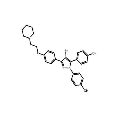 CCc1c(-c2ccc(OCCN3CCCCC3)cc2)nn(-c2ccc(O)cc2)c1-c1ccc(O)cc1